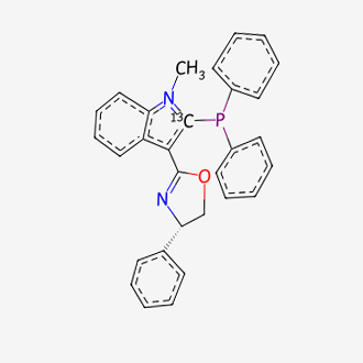 Cn1c2ccccc2c(C2=N[C@@H](c3ccccc3)CO2)[13c]1P(c1ccccc1)c1ccccc1